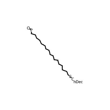 CCCCCCCCCCCCCCCCCCCCCCCCCCCCCP=O